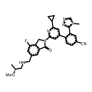 CO[C@@H](C)CNCc1cc(F)c2c(c1)C(=O)N(c1cc(-c3ccc(C#N)cc3-c3nncn3C)cc(C3CC3)n1)C2